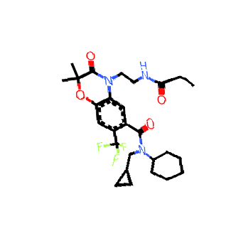 CCC(=O)NCCN1C(=O)C(C)(C)Oc2cc(C(F)(F)F)c(C(=O)N(CC3CC3)C3CCCCC3)cc21